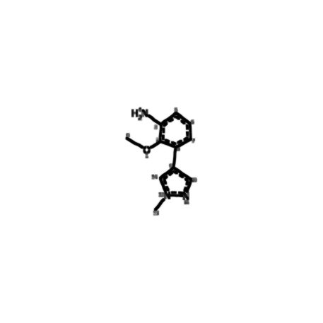 COc1c(N)cccc1-c1cnn(C)c1